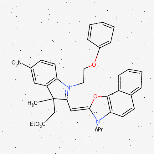 CCCN1/C(=C/C2=[N+](CCOc3ccccc3)c3ccc([N+](=O)[O-])cc3C2(C)CC(=O)OCC)Oc2c1ccc1ccccc21